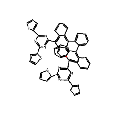 C1=CCC=c2c(-c3nc(-c4cccs4)nc(-c4cccs4)n3)c3ccccc3c(-c3ccccc3-c3c4ccccc4c(-c4nc(-c5cccs5)nc(-c5cccs5)n4)c4ccccc34)c2=C1